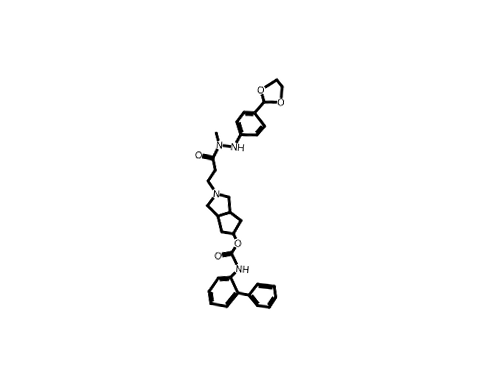 CN(Nc1ccc(C2OCCO2)cc1)C(=O)CCN1CC2CC(OC(=O)Nc3ccccc3-c3ccccc3)CC2C1